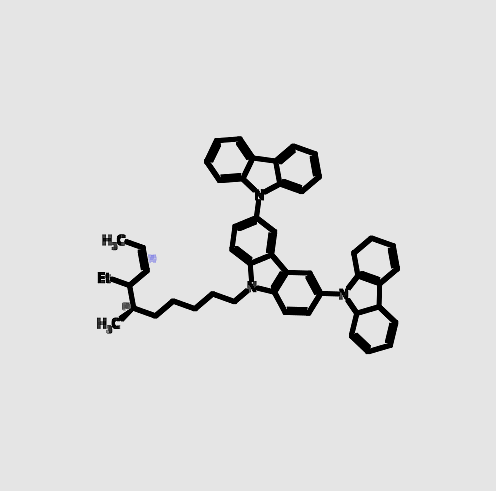 C/C=C\C(CC)[C@H](C)CCCCCn1c2ccc(N3C4=C(C=CCC4)C4C=CC=CC43)cc2c2cc(-n3c4ccccc4c4ccccc43)ccc21